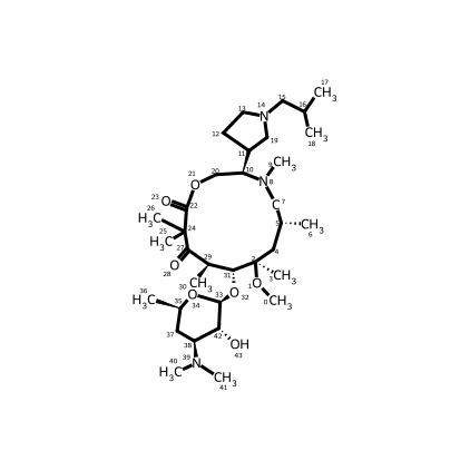 CO[C@]1(C)C[C@@H](C)CN(C)[C@H](C2CCN(CC(C)C)C2)COC(=O)C(C)(C)C(=O)[C@H](C)[C@H]1O[C@@H]1O[C@H](C)C[C@H](N(C)C)[C@H]1O